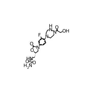 NS(=O)(=O)NC[C@H]1CN(c2ccc(N3CCNN(C(=O)CO)CC3)c(F)c2)C(=O)O1